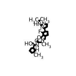 Cc1cccc([C@@H](CO)NC(=O)C(C)N2Cc3ccc(-c4ccnc(NC(C)C)n4)c(F)c3C2=O)c1